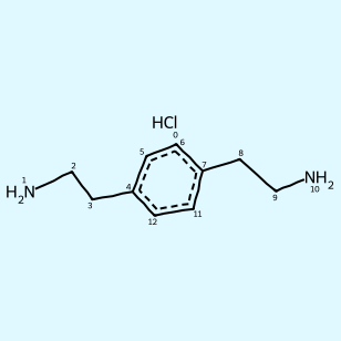 Cl.NCCc1ccc(CCN)cc1